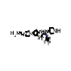 CC1=C(/C(=C\CC(F)(F)F)NC2CCNCC2)Nc2ccc(N3CCN(CCN)CC3)cc2S1